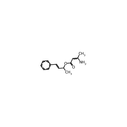 C/C(N)=C/C(=O)OC(C)/C=C/c1ccccc1